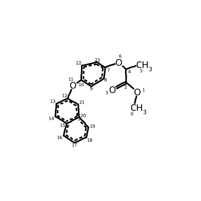 COC(=O)C(C)Oc1ccc(Oc2ccc3ccccc3c2)cc1